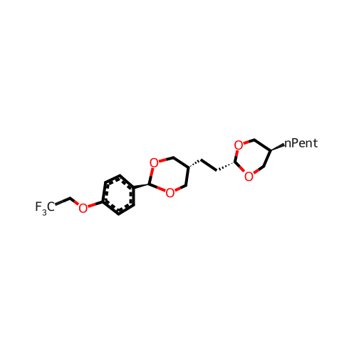 CCCCC[C@H]1CO[C@H](CC[C@H]2CO[C@H](c3ccc(OCC(F)(F)F)cc3)OC2)OC1